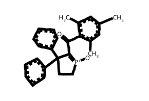 Cc1cc(C)c(C(=O)C2=[P+]([O-])CCC2(c2ccccc2)c2ccccc2)c(C)c1